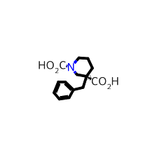 O=C(O)N1CCC[C@@](Cc2ccccc2)(C(=O)O)C1